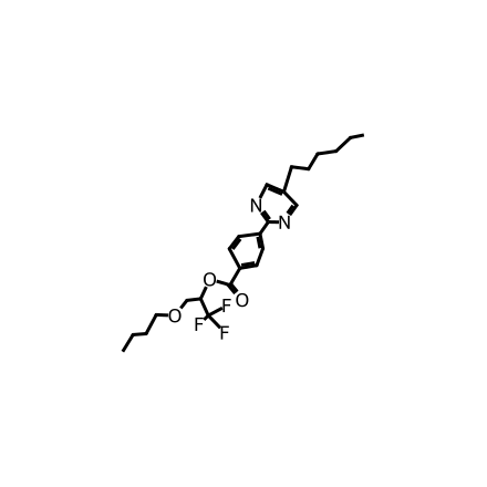 CCCCCCc1cnc(-c2ccc(C(=O)OC(COCCCC)C(F)(F)F)cc2)nc1